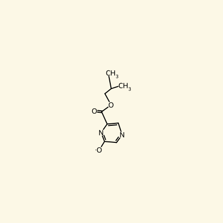 CC(C)COC(=O)c1cncc([O])n1